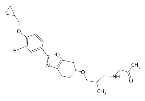 CC(=O)CNCC(C)COC1CCc2nc(-c3ccc(OCC4CC4)c(F)c3)oc2C1